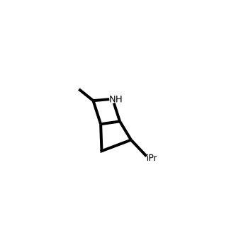 CC(C)C1CC2C(C)NC12